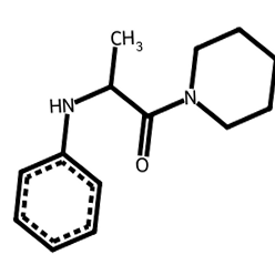 CC(Nc1ccccc1)C(=O)N1CCCCC1